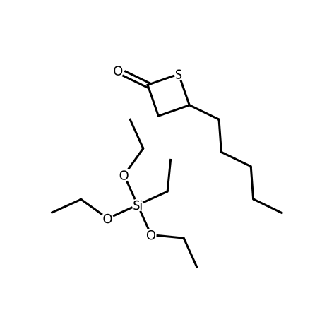 CCCCCC1CC(=O)S1.CCO[Si](CC)(OCC)OCC